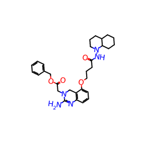 NC1=Nc2cccc(OCCCC(=O)NN3CCCC4CCCCC43)c2CN1CC(=O)OCc1ccccc1